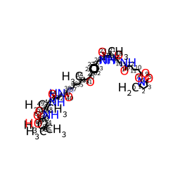 C=C1CCC(=O)N1OC(=O)CCCC(=O)NCC(=O)NC(C)C(=O)NCc1ccc(C2OC2[C@@H](C)CC/C=C/C(=O)NCC(=O)NCC(C)(C)C(=O)N[C@@H](CC(C)(C)C)C(=O)O)cc1